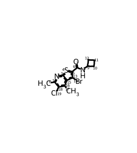 Cc1nc2sc(C(=O)NC3CCC3)c(Br)c2c(C)c1Cl